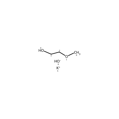 COCCO.[K+].[OH-]